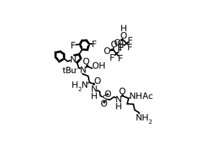 CC(=O)N[C@@H](CCCCN)C(=O)NCCS(=O)(=O)CCNC(=O)[C@@H](N)CCN(C(=O)CO)[C@@H](c1cc(-c2cc(F)ccc2F)cn1Cc1ccccc1)C(C)(C)C.O=C(O)C(F)(F)F.O=C(O)C(F)(F)F